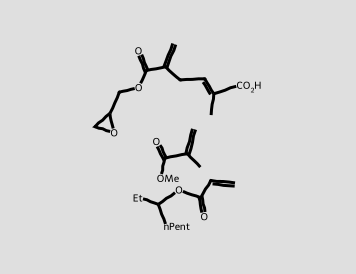 C=C(C)C(=O)OC.C=C(CC=C(C)C(=O)O)C(=O)OCC1CO1.C=CC(=O)OC(CC)CCCCC